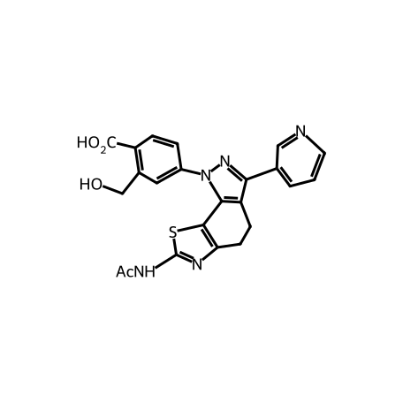 CC(=O)Nc1nc2c(s1)-c1c(c(-c3cccnc3)nn1-c1ccc(C(=O)O)c(CO)c1)CC2